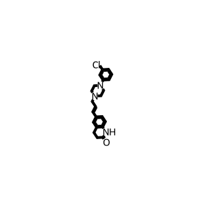 O=C1CCc2cc(C=CCN3CCN(c4cccc(Cl)c4)CC3)ccc2N1